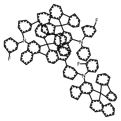 Fc1ccc(N(c2ccccc2)c2cc3c(c4ccccc24)-c2ccc4c(-c5cccc(N(c6cccc(F)c6)c6cc7c(c8ccccc68)-c6ccc8c(-c9cccc(N(c%10ccccc%10F)c%10cc%11c(c%12ccccc%10%12)-c%10ccc%12ccccc%12c%10C%11%10c%11ccccc%11-c%11ccccc%11%10)c9)cccc8c6C76c7ccccc7-c7ccccc76)c5)cccc4c2C32c3ccccc3-c3ccccc32)cc1